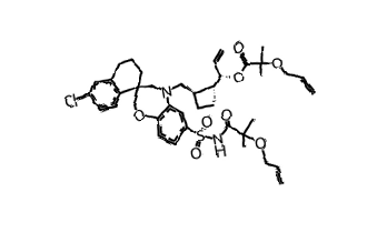 C=CCOC(C)(C)C(=O)NS(=O)(=O)c1ccc2c(c1)N(C[C@@H]1CC[C@H]1[C@H](C=C)OC(=O)C(C)(C)OCC=C)C[C@@]1(CCCc3cc(Cl)ccc31)CO2